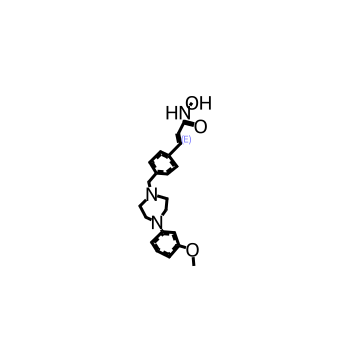 COc1cccc(N2CCN(Cc3ccc(/C=C/C(=O)NO)cc3)CC2)c1